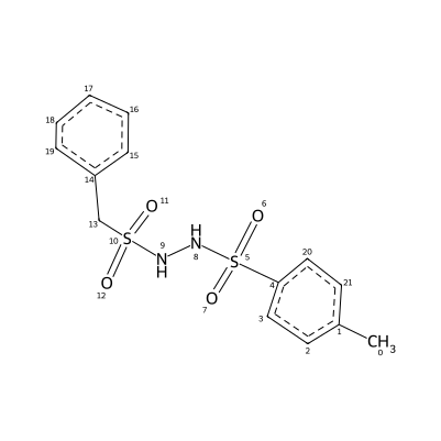 Cc1ccc(S(=O)(=O)NNS(=O)(=O)Cc2ccccc2)cc1